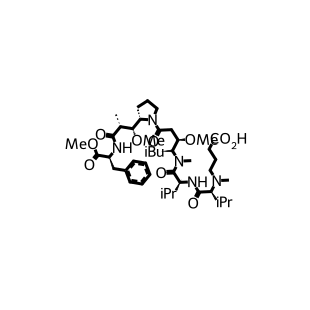 CC[C@H](C)C([C@@H](CC(=O)N1CCC[C@H]1[C@H](OC)[C@@H](C)C(=O)N[C@@H](Cc1ccccc1)C(=O)OC)OC)N(C)C(=O)[C@@H](NC(=O)[C@H](C(C)C)N(C)CCCC(=O)O)C(C)C